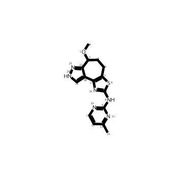 COC1CCc2sc(Nc3nccc(C)n3)nc2-c2c[nH]nc21